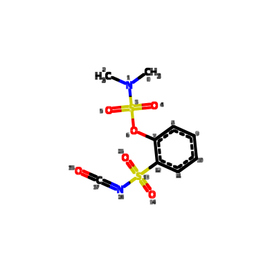 CN(C)S(=O)(=O)Oc1ccccc1S(=O)(=O)N=C=O